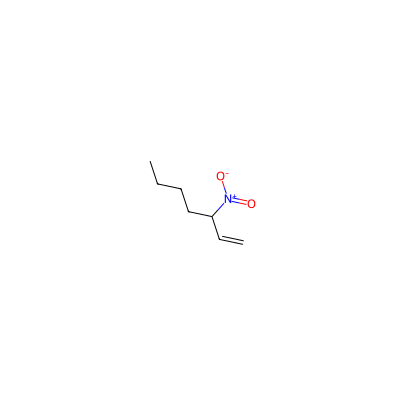 C=CC(CCCC)[N+](=O)[O-]